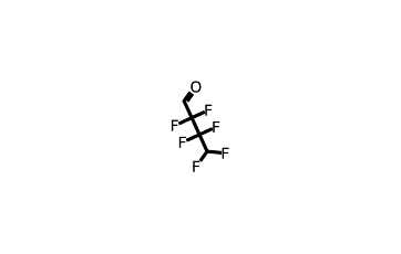 O=CC(F)(F)C(F)(F)C(F)F